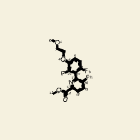 COCCOc1ccc(F)c(-c2nc(C(=O)OC)ccc2F)c1F